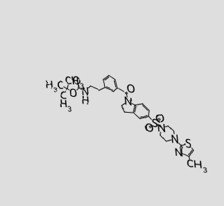 Cc1csc(N2CCN(S(=O)(=O)c3ccc4c(c3)CCN4C(=O)c3cccc(CCNC(=O)OC(C)(C)C)c3)CC2)n1